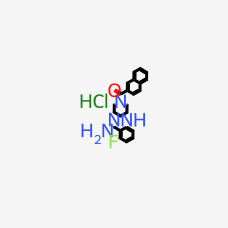 Cl.NC1=NC2(CCN(C(=O)c3ccc4ccccc4c3)CC2)Nc2cccc(F)c21